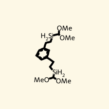 COC(OC)[SiH2]CCc1cccc(CC[SiH2]C(OC)OC)c1